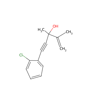 C=C(C)C(C)(O)C#Cc1ccccc1Cl